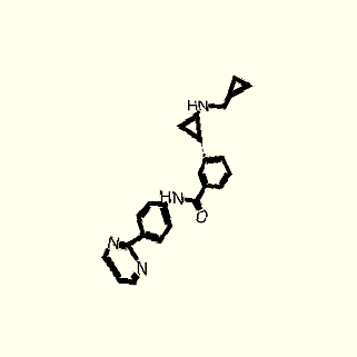 O=C(Nc1ccc(-c2ncccn2)cc1)c1cccc([C@@H]2C[C@H]2NCC2CC2)c1